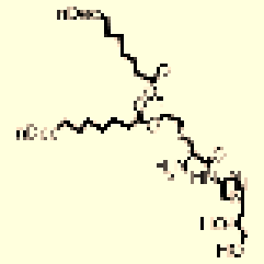 CCCCCCCCCCCCCCCCC(=O)OC[C@H](CSC[C@@H](N)C(=O)Nc1cn(C[C@@H](O)CO)nn1)OC(=O)CCCCCCCCCCCCCCCC